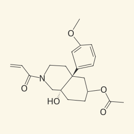 C=CC(=O)N1CC[C@]2(c3cccc(OC)c3)CC(OC(C)=O)CC[C@@]2(O)C1